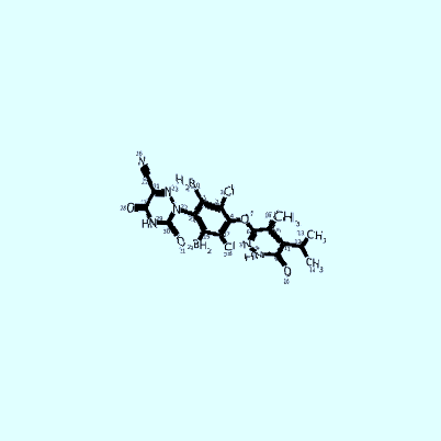 Bc1c(Cl)c(Oc2n[nH]c(=O)c(C(C)C)c2C)c(Cl)c(B)c1-n1nc(C#N)c(=O)[nH]c1=O